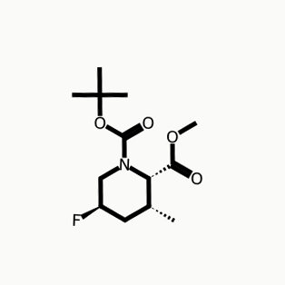 COC(=O)[C@@H]1[C@H](C)C[C@@H](F)CN1C(=O)OC(C)(C)C